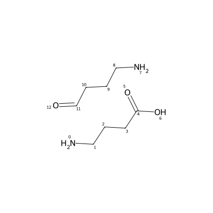 NCCCC(=O)O.NCCCC=O